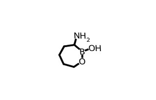 NC1CCCCOB1O